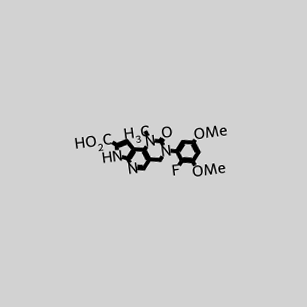 COc1cc(OC)c(F)c(N2Cc3cnc4[nH]c(C(=O)O)cc4c3N(C)C2=O)c1